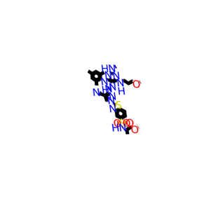 CNc1nc(NCCCOC)c(N=Nc2nn(-c3nc4cc(S(=O)(=O)NC(C)C(=O)OC)ccc4s3)cc2C#N)c(Nc2c(C)cc(C)cc2C)n1